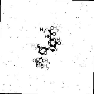 CC(C)C(=O)Nc1nc2c(ncn2C2CN(C)C[C@@H](COP(=O)(Cl)N(C)C)O2)c(=O)[nH]1